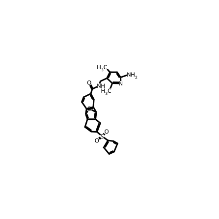 Cc1cc(N)nc(C)c1CNC(=O)c1ccc2c(c1)c1oc2c2ccc(S(=O)(=O)c3ccccc3)cc21